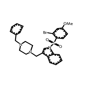 COc1ccc(S(=O)(=O)n2cc(CN3CCN(Cc4ccccc4)CC3)c3ccccc32)c(Br)c1